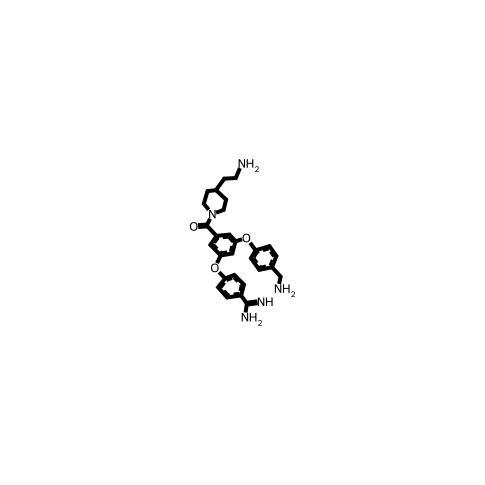 N=C(N)c1ccc(Oc2cc(Oc3ccc(CN)cc3)cc(C(=O)N3CCC(CCN)CC3)c2)cc1